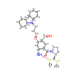 CCSC(SCC)[C@@H]1CCCN1C(=O)c1cc(CO)c(OCCCn2c3ccccc3c3ccccc32)cc1N